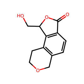 O=C1OC(CO)c2c1ccc1c2CCOC1